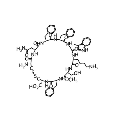 C[C@@H](O)[C@@H]1NC(=O)[C@H](CCCCN)NC(=O)[C@@H](Cc2c[nH]c3ccccc23)NC(=O)[C@H](Cc2ccccc2)NC(=O)[C@H](Cc2ccccc2)NC(=O)[C@H](CC(N)=O)NC(=O)[C@@H](N)CSSC[C@@H](C(=O)O)NC(=O)[C@H](Cc2ccccc2)NC1=O